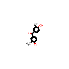 Cc1cc(C(=O)c2ccc(O)c(C(C)C)c2)ccc1O